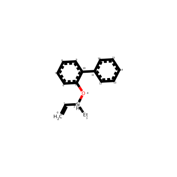 C=C[SiH](CC)Oc1ccccc1-c1ccccc1